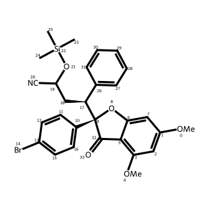 COc1cc(OC)c2c(c1)O[C@@](c1ccc(Br)cc1)([C@@H](CC(C#N)O[Si](C)(C)C)c1ccccc1)C2=O